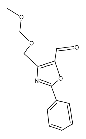 COCOCc1nc(-c2ccccc2)oc1C=O